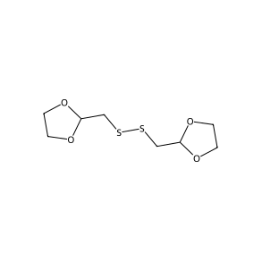 C1COC(CSSCC2OCCO2)O1